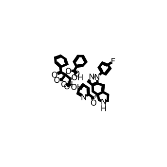 O=C(O[C@](C(=O)O)(C(=O)c1ccccc1)C(O)C(=O)O)c1ccccc1.O=C(c1ccccn1)[C@@]12CNCCC1=Cc1c(cnn1-c1ccc(F)cc1)C2